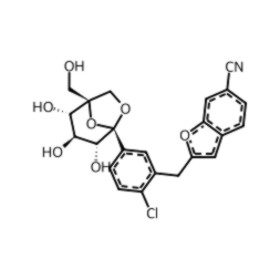 N#Cc1ccc2cc(Cc3cc([C@]45OC[C@](CO)(O4)[C@@H](O)[C@H](O)[C@H]5O)ccc3Cl)oc2c1